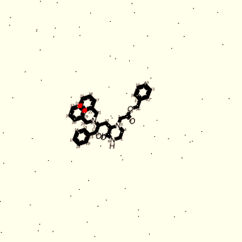 O=C(CN1CCNC(=O)C1CC(C(O)c1ccccc1)N(Cc1ccccc1)Cc1ccccc1)OCc1ccccc1